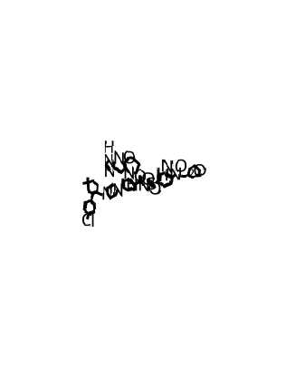 CC1(C)CCC(CN2CCN(c3ccc(C(=O)NS(=O)(=O)c4ccc(NCC5CCOCC5)c([N+](=O)[O-])c4)c(N4CCCOc5nc6[nH]cnc6cc54)c3)CC2)=C(c2ccc(Cl)cc2)C1